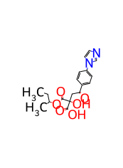 CCC(C)OC(=O)C(O)(CC(=O)c1ccc(-n2ccnc2)cc1)C(=O)O